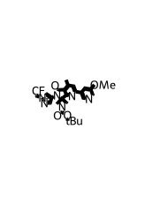 COc1cncc(-c2cc(C)c3c(n2)C2(CN(C(=O)OC(C)(C)C)C2)N(c2cnn(CC(F)(F)F)c2)C3=O)c1